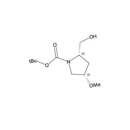 CO[C@H]1C[C@@H](CO)N(C(=O)OC(C)(C)C)C1